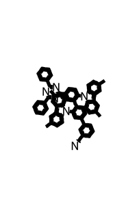 Cc1ccc2c(c1)c1cc(C)ccc1n2-c1ccc(-c2nc(-c3ccccc3)nc(-c3ccccc3)n2)cc1-c1ccc(-c2cccc(C#N)c2)cc1-n1c2ccc(C)cc2c2cc(C)ccc21